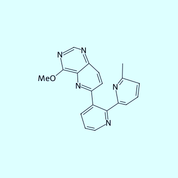 COc1ncnc2ccc(-c3cccnc3-c3cccc(C)n3)nc12